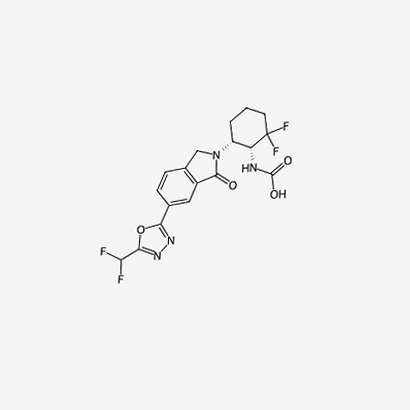 O=C(O)N[C@@H]1[C@H](N2Cc3ccc(-c4nnc(C(F)F)o4)cc3C2=O)CCCC1(F)F